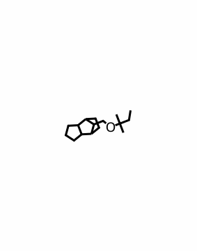 CCC(C)(C)OCC1C2CCC1C1CCCC12